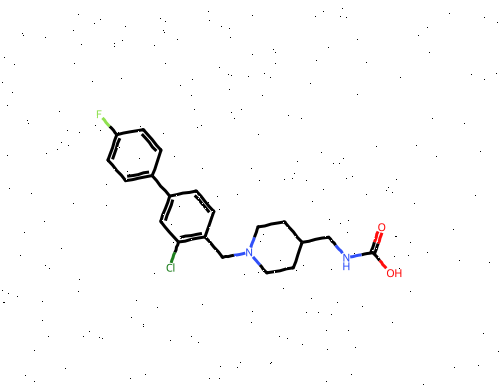 O=C(O)NCC1CCN(Cc2ccc(-c3ccc(F)cc3)cc2Cl)CC1